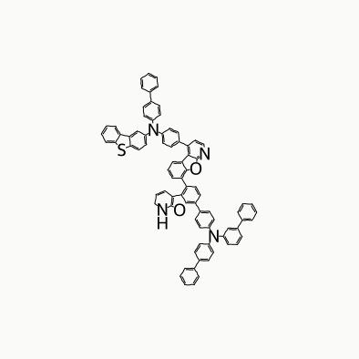 C1=Cc2c(oc3c(-c4ccc(N(c5ccc(-c6ccccc6)cc5)c5cccc(-c6ccccc6)c5)cc4)ccc(-c4cccc5c4oc4nccc(-c6ccc(N(c7ccc(-c8ccccc8)cc7)c7ccc8sc9ccccc9c8c7)cc6)c45)c23)NC1